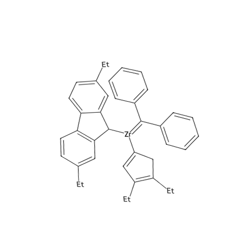 CCC1=C(CC)C[C]([Zr](=[C](c2ccccc2)c2ccccc2)[CH]2c3cc(CC)ccc3-c3ccc(CC)cc32)=C1